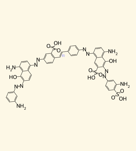 Nc1cccc(N=Nc2ccc3c(N=Nc4ccc(/C=C/c5ccc(N=Nc6ccc(N)c7c(O)c(N=Nc8ccc(S(=O)(=O)O)c(N)c8)c(S(=O)(=O)O)cc67)cc5)c(S(=O)(=O)O)c4)ccc(N)c3c2O)c1